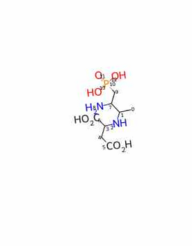 CC(NC(CC(=O)O)C(=O)O)C(N)CP(=O)(O)O